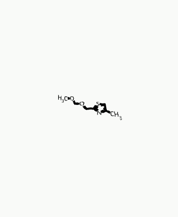 COCOCc1nc(C)cs1